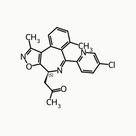 CC(=O)C[C@@H]1N=C(c2ccc(Cl)cn2)c2c(C)cccc2-c2c(C)noc21